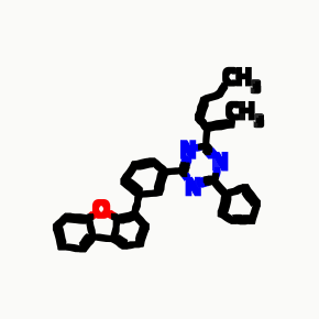 C/C=C(\C=C/CC)c1nc(-c2ccccc2)nc(-c2cccc(-c3cccc4c3oc3ccccc34)c2)n1